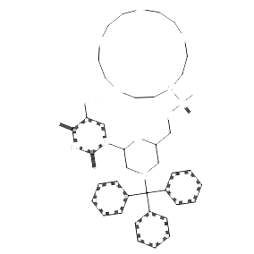 Cc1cn(C2CN(C(c3ccccc3)(c3ccccc3)c3ccccc3)CC(COP(=O)(Cl)N3CCOCCOCCOCCOCC3)O2)c(=O)[nH]c1=O